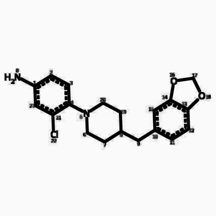 Nc1ccc(N2CCC(Cc3ccc4c(c3)OCO4)CC2)c(Cl)c1